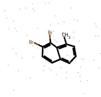 Cc1cccc2ccc(Br)c(Br)c12